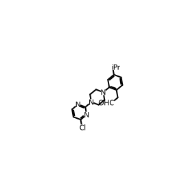 CC(C)c1ccc(CC=O)c(N2CCN(c3nccc(Cl)n3)CC2)c1